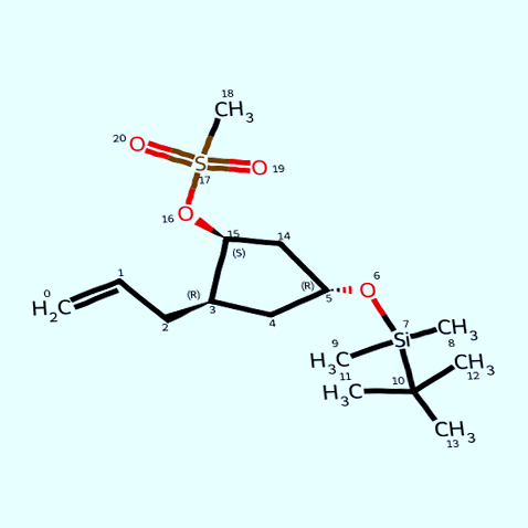 C=CC[C@@H]1C[C@@H](O[Si](C)(C)C(C)(C)C)C[C@@H]1OS(C)(=O)=O